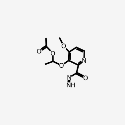 COc1ccnc(C(=O)N=N)c1OC(C)OC(C)=O